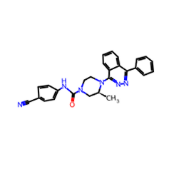 C[C@H]1CN(C(=O)Nc2ccc(C#N)cc2)CCN1c1nnc(-c2ccccc2)c2ccccc12